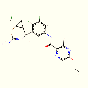 Cc1nc(OCC(F)(F)F)cnc1C(=O)Nc1cc(F)c(F)c([C@@]2(C)N=C(N)S[C@@]3(CF)CC32)c1